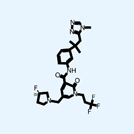 Cn1cnnc1CC(C)(C)c1cccc(NC(=O)c2cc(CN3CC[C@H](F)C3)cn(CCC(F)(F)F)c2=O)c1